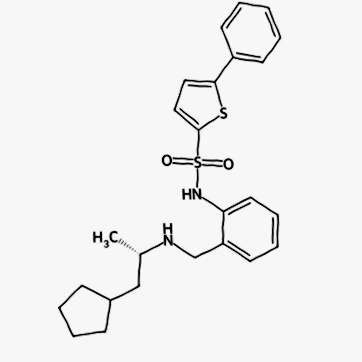 C[C@@H](CC1CCCC1)NCc1ccccc1NS(=O)(=O)c1ccc(-c2ccccc2)s1